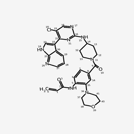 C=CC(=O)Nc1ccc(C(=O)N2CCC(Nc3ncc(Cl)c(-c4c[nH]c5ncccc45)n3)CC2)cc1N1CCOCC1